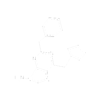 Nn1cnc2c(Cc3ccco3)nc(Cc3ccccc3)nc21